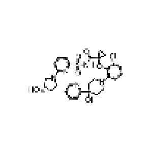 O=C(NS(=O)(=O)c1cccc(N2CC[C@H](O)C2)n1)C1(Oc2c(Cl)cccc2N2CCC(O)(c3ccccn3)CC2)CC1